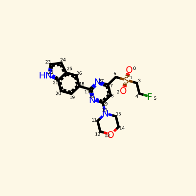 O=S(=O)(CCF)Cc1cc(N2CCOCC2)nc(-c2ccc3[nH]ccc3c2)n1